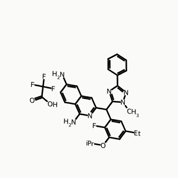 CCc1cc(OC(C)C)c(F)c(C(c2cc3cc(N)ccc3c(N)n2)c2nc(-c3ccccc3)nn2C)c1.O=C(O)C(F)(F)F